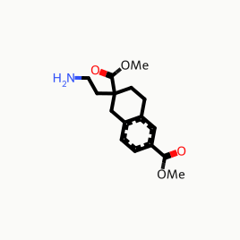 COC(=O)c1ccc2c(c1)CCC(CCN)(C(=O)OC)C2